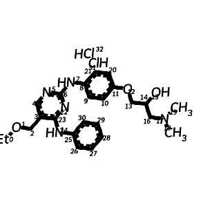 CCOCc1cnc(Nc2ccc(OCC(O)CN(C)C)cc2)nc1Nc1ccccc1.Cl.Cl